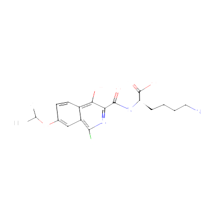 CC(C)Oc1ccc2c(O)c(C(=O)N[C@H](CCCCN)C(=O)O)nc(Cl)c2c1